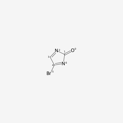 O=C1N=CC(Br)=N1